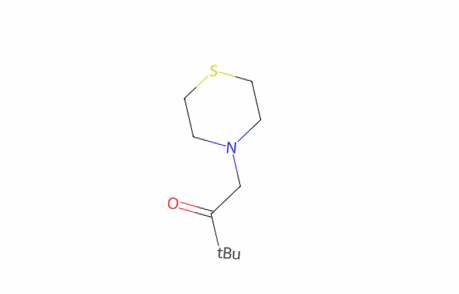 CC(C)(C)C(=O)CN1CCSCC1